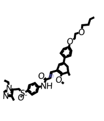 CCCCOCCOc1ccc(C2=CC(/C=C/C(=O)Nc3ccc([S+]([O-])Cc4c(C)ncn4CC)cc3)=C(OC)C(C)C2)cc1